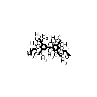 CCC(C)(C)c1cc(C(C)(C)c2cc(C(C)(C)CC)c(OCCC3CO3)c(C(C)(C)CC)c2)cc(C(C)(C)CC)c1OCCC1CO1